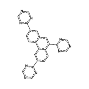 c1ncnc(-c2ccc3c(c2)cc(-c2ncncn2)c2ccc(-c4ncncn4)cc23)n1